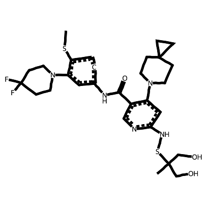 CSc1ccc(NC(=O)c2cnc(NSC(C)(CO)CO)cc2N2CCC3(CC2)CC3)cc1N1CCC(F)(F)CC1